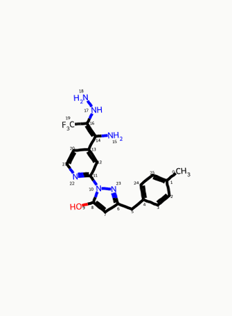 Cc1ccc(Cc2cc(O)n(-c3cc(/C(N)=C(/NN)C(F)(F)F)ccn3)n2)cc1